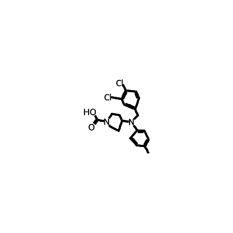 Cc1ccc(N(Cc2ccc(Cl)c(Cl)c2)C2CCN(C(=O)O)CC2)cc1